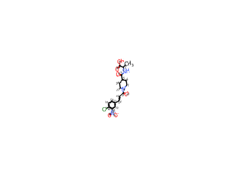 CC(NC(=O)C1CCN(C(=O)/C=C/c2ccc(Cl)c([N+](=O)[O-])c2)CC1)C(=O)O